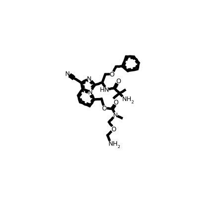 CN(COCN)C(=O)OCc1cccc2c(C#N)nc(C(COCc3ccccc3)NC(=O)C(C)(C)N)n12